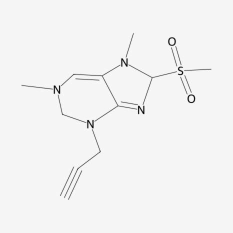 C#CCN1CN(C)C=C2C1=NC(S(C)(=O)=O)N2C